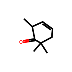 CC1C=CCC(C)(C)C1=O